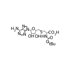 CC(C)(C)OC(=O)N[C@@H](CSCC1OC(n2cnc3c(N)ncnc32)C(O)C1O)C(=O)O